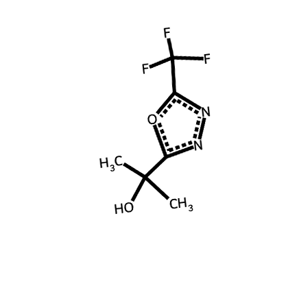 CC(C)(O)c1nnc(C(F)(F)F)o1